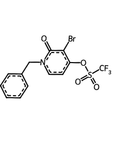 O=c1c(Br)c(OS(=O)(=O)C(F)(F)F)ccn1Cc1ccccc1